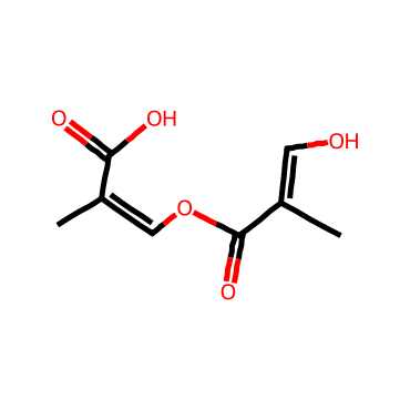 CC(=COC(=O)C(C)=CO)C(=O)O